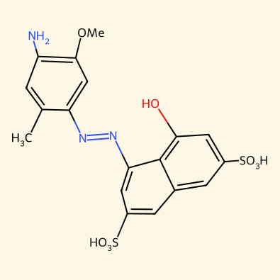 COc1cc(N=Nc2cc(S(=O)(=O)O)cc3cc(S(=O)(=O)O)cc(O)c23)c(C)cc1N